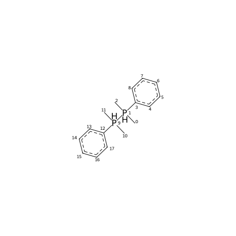 C[PH](C)(c1ccccc1)[PH](C)(C)c1ccccc1